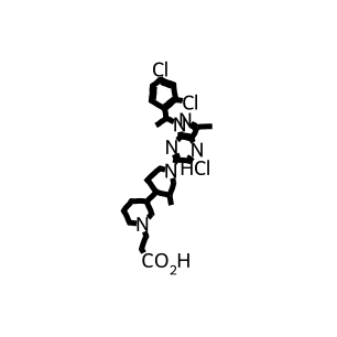 Cc1nn(C(C)c2ccc(Cl)cc2Cl)c2nc(N3CCC(C4CCCN(CCC(=O)O)C4)C(C)C3)cnc12.Cl